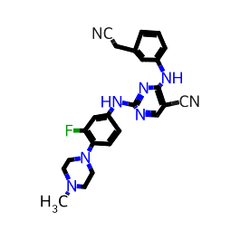 CN1CCN(c2ccc(Nc3ncc(C#N)c(Nc4cccc(CC#N)c4)n3)cc2F)CC1